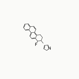 C1=CCN=C1.CC1CCc2c(ccc3c2ccc2ccccc23)C1F